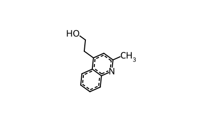 Cc1cc(CCO)c2ccccc2n1